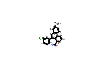 CC(=O)Oc1cccc(C=C2c3cc(Cl)ccc3NC(=O)c3ccccc32)c1